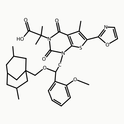 COc1ccccc1C(Cn1c(=O)n(C(C)(C)C(=O)O)c(=O)c2c(C)c(-c3ncco3)sc21)OCC12CC(C)CC(CC(C)C1)C2